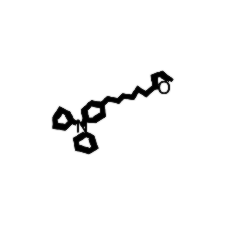 c1ccc(N(c2ccccc2)c2ccc(CCCCCCc3ccco3)cc2)cc1